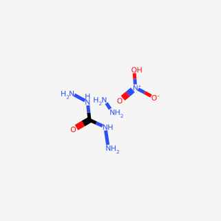 NN.NNC(=O)NN.O=[N+]([O-])O